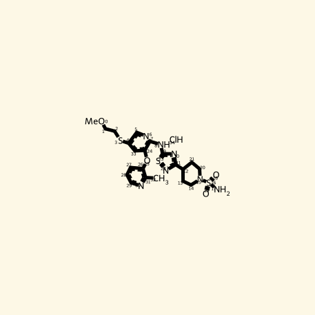 COCCSc1cnc(Nc2nc(C3CCN(S(N)(=O)=O)CC3)ns2)c(Oc2cccnc2C)c1.Cl